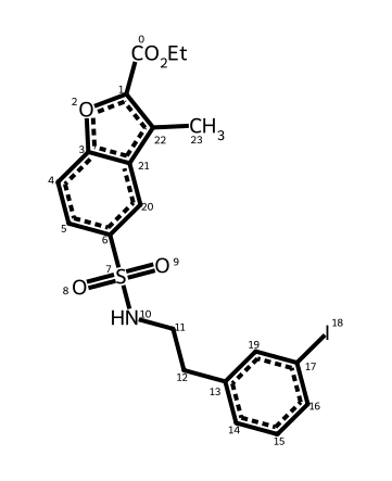 CCOC(=O)c1oc2ccc(S(=O)(=O)NCCc3cccc(I)c3)cc2c1C